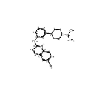 CB(O)N1CCC(c2cccc(Nc3ncc4cc(Br)ccc4n3)c2)CC1